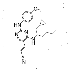 CCCCC(CC1CC1)Nc1nc(Nc2ccc(OC)cc2)ncc1C=CC#N